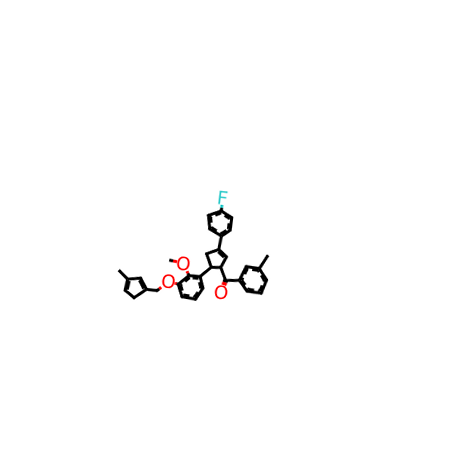 COc1c(OCC2=CC(C)=CC2)cccc1C1CC(c2ccc(F)cc2)=CC1C(=O)c1cccc(C)c1